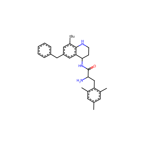 Cc1cc(C)c(CC(N)C(=O)NC2CCNc3c2cc(Cc2ccccc2)cc3C(C)(C)C)c(C)c1